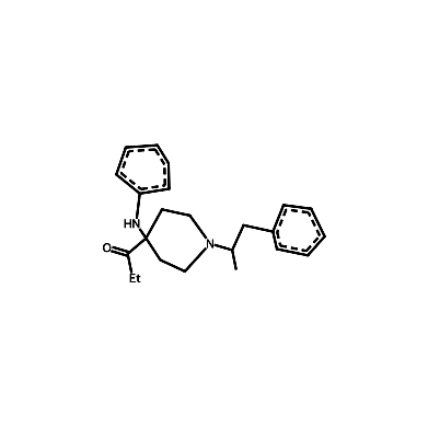 CCC(=O)C1(Nc2ccccc2)CCN(C(C)Cc2ccccc2)CC1